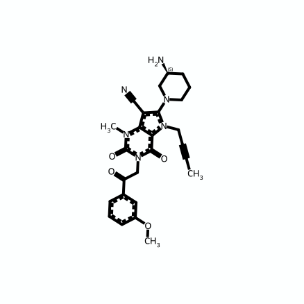 CC#CCn1c(N2CCC[C@H](N)C2)c(C#N)c2c1c(=O)n(CC(=O)c1cccc(OC)c1)c(=O)n2C